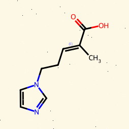 C/C(=C\CCn1ccnc1)C(=O)O